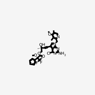 COc1c(C)cnc(Cn2cc(C#C[C@](C)(O)COC(=O)[C@](OC)(c3ccccc3)C(F)(F)F)c3c(Cl)nc(N)nc32)c1C